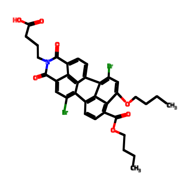 CCCCOC(=O)c1ccc2c3c(Br)cc4c5c(ccc(c6c(Br)cc(OCCCC)c1c26)c53)C(=O)N(CCCC(=O)O)C4=O